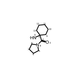 [NH]C1(C(=O)N2CCCC2)CCCCC1